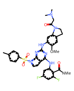 CNC(=O)c1c(F)cc(F)cc1Nc1nc(Nc2cc3c(cc2OC)CCN3C(=O)CN(C)C)nc2c1ccn2S(=O)(=O)c1ccc(C)cc1